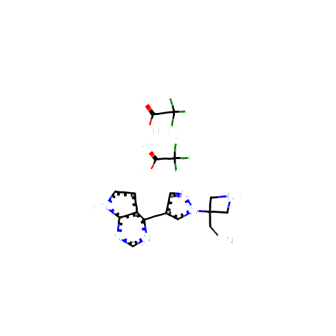 N#CCC1(n2cc(-c3ncnc4[nH]ccc34)cn2)CNC1.O=C(O)C(F)(F)F.O=C(O)C(F)(F)F